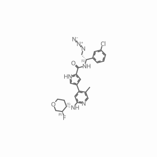 Cc1cnc(N[C@H]2CCOC[C@@H]2F)cc1-c1c[nH]c(C(=O)N[C@H](CN=[N+]=[N-])c2cccc(Cl)c2)c1